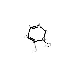 ClC1=NC=CCN1Cl